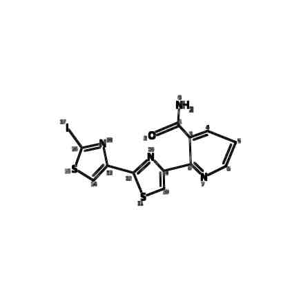 NC(=O)c1cccnc1-c1csc(-c2csc(I)n2)n1